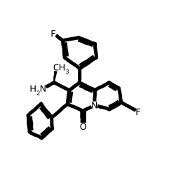 C[C@H](N)c1c(-c2ccccc2)c(=O)n2cc(F)ccc2c1-c1cccc(F)c1